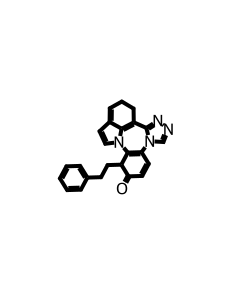 O=C1C=CC2=C(C1CCc1ccccc1)n1ccc3c1=C(CCC=3)c1nncn12